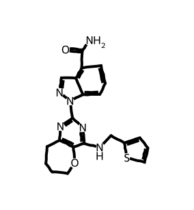 NC(=O)c1cccc2c1cnn2-c1nc2c(c(NCc3cccs3)n1)OCCCC2